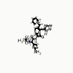 CC(C)(O/N=C(\C(=O)N[C@@H]1C(=O)N2C(c3nnn[nH]3)=C(C[n+]3ccccc3)CS[C@H]12)c1csc(N)n1)C(=O)O